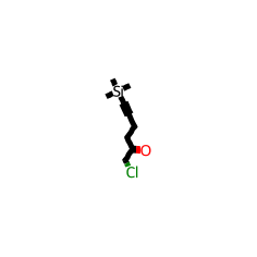 C[Si](C)(C)C#CCCC(=O)CCl